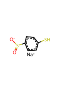 O=S([O-])c1ccc(S)cc1.[Na+]